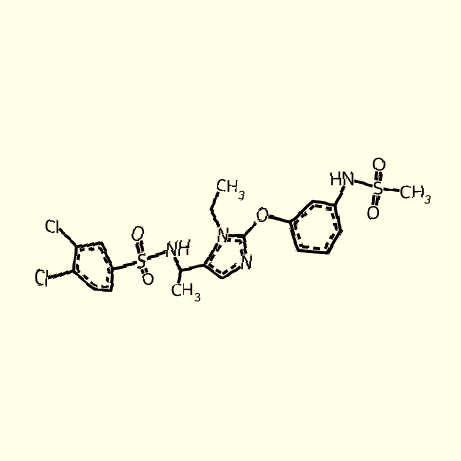 CCn1c(C(C)NS(=O)(=O)c2ccc(Cl)c(Cl)c2)cnc1Oc1cccc(NS(C)(=O)=O)c1